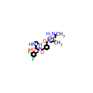 C=C(CN(C)C(=O)c1cccc(C(=O)N[C@@H](Cc2cc(F)cc(F)c2)[C@H](O)[C@H]2CCCN2)c1)S/C=C(/C)N